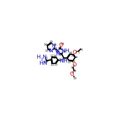 CCOc1cc(OCCOC)cc(C(Nc2ccc(C(=N)N)cc2)c2nn(-c3ncccn3)c(=O)[nH]2)c1